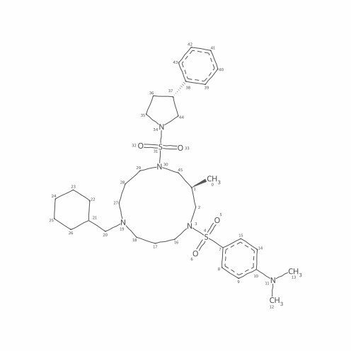 C[C@H]1CN(S(=O)(=O)c2ccc(N(C)C)cc2)CCCN(CC2CCCCC2)CCCN(S(=O)(=O)N2CC[C@H](c3ccccc3)C2)C1